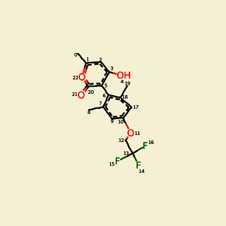 Cc1cc(O)c(-c2c(C)cc(OCC(F)(F)F)cc2C)c(=O)o1